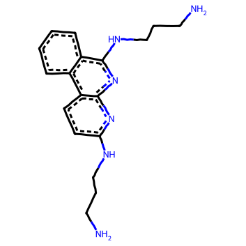 NCCCNc1ccc2c(n1)nc(NCCCN)c1ccccc12